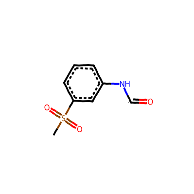 CS(=O)(=O)c1cccc(N[C]=O)c1